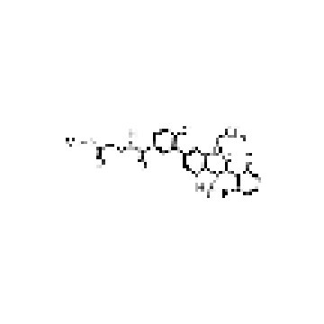 COC(=O)CCNC(=O)c1ccc(Cl)c(-c2cnc(N(C)C(=O)c3c(F)cccc3Cl)c(OCC(F)(F)F)c2)c1